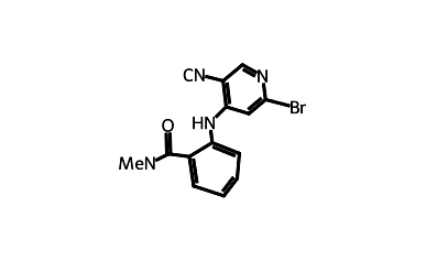 [C-]#[N+]c1cnc(Br)cc1Nc1ccccc1C(=O)NC